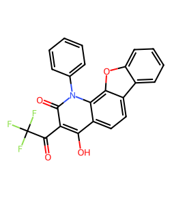 O=C(c1c(O)c2ccc3c4ccccc4oc3c2n(-c2ccccc2)c1=O)C(F)(F)F